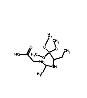 CCC(NC(C)NCC(=O)O)[Si](OC)(OC)OC